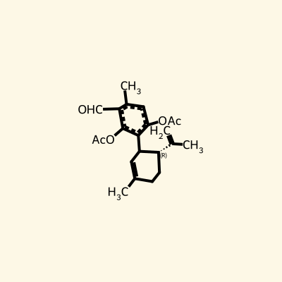 C=C(C)[C@@H]1CCC(C)=CC1c1c(OC(C)=O)cc(C)c(C=O)c1OC(C)=O